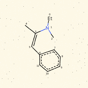 CCN(C)C(C)=Cc1ccccc1